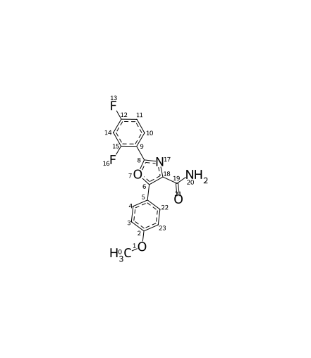 COc1ccc(-c2oc(-c3ccc(F)cc3F)nc2C(N)=O)cc1